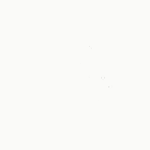 CC(=O)CC(C(=O)c1cccs1)c1ccccc1